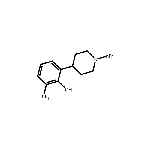 CCCN1CCC(c2cccc(C(F)(F)F)c2O)CC1